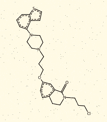 O=C1c2cc(OCCCN3CCN(c4cccc5sccc45)CC3)ccc2CCN1CCCCl